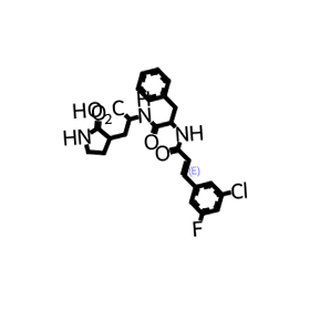 O=C(/C=C/c1cc(F)cc(Cl)c1)NC(Cc1ccccc1)C(=O)NC(CC1CCNC1=O)C(=O)O